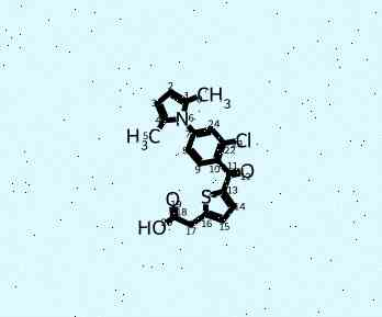 Cc1ccc(C)n1-c1ccc(C(=O)c2ccc(CC(=O)O)s2)c(Cl)c1